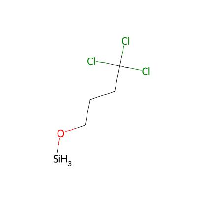 [SiH3]OCCCC(Cl)(Cl)Cl